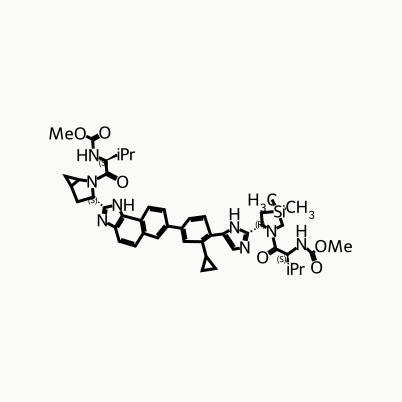 COC(=O)N[C@H](C(=O)N1C[Si](C)(C)C[C@H]1c1ncc(-c2ccc(-c3ccc4c(ccc5nc([C@@H]6CC7CC7N6C(=O)[C@@H](NC(=O)OC)C(C)C)[nH]c54)c3)cc2C2CC2)[nH]1)C(C)C